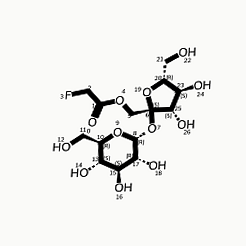 O=C(CF)OC[C@@]1(O[C@H]2O[C@H](CO)[C@@H](O)[C@H](O)[C@H]2O)O[C@H](CO)[C@@H](O)[C@@H]1O